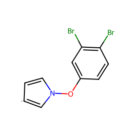 Brc1ccc(On2c[c]cc2)cc1Br